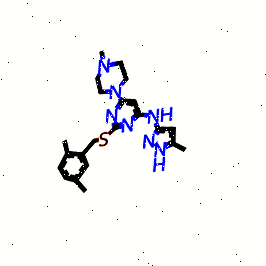 Cc1ccc(C)c(CSc2nc(Nc3cc(C)[nH]n3)cc(N3CCN(C)CC3)n2)c1